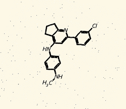 CNc1ccc(Nc2cc(-c3cccc(Cl)c3)nc3c2CCC3)cc1